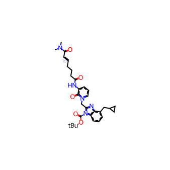 CN(C)C(=O)/C=C/CCCC(=O)Nc1cccn(Cc2nc3c(CC4CC4)cccc3n2C(=O)OC(C)(C)C)c1=O